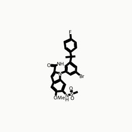 COc1cc2cc(C(N)=O)n(-c3cc(Br)cc(C(C)(C)c4ccc(F)cc4)c3)c2cc1NS(C)(=O)=O